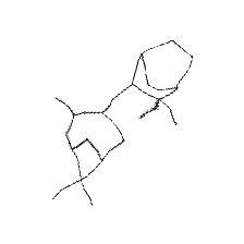 CC1C(CC2C3CCC(C3)C2(C)C)CC2CC1C2(C)C